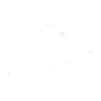 O=C(O)NC1CCC(Oc2ccc(C(F)(F)F)cc2)c2ncc(Cl)cc21